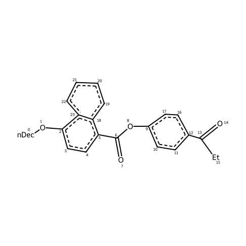 CCCCCCCCCCOc1ccc(C(=O)Oc2ccc(C(=O)CC)cc2)c2ccccc12